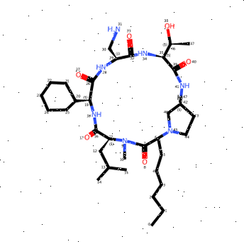 CCCCCCC1C(=O)N(C)[C@@H](CC(C)C)C(=O)N[C@@H](C2CCCCC2)C(=O)N[C@@H](CN)C(=O)N[C@@H]([C@H](C)O)C(=O)N[C@H]2CCN1C2